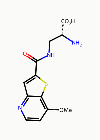 COc1ccnc2cc(C(=O)NC[C@@H](N)C(=O)O)sc12